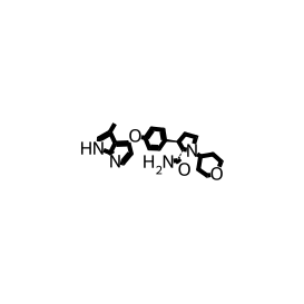 Cc1c[nH]c2nccc(Oc3ccc([C@H]4CCN(C5CCOCC5)[C@@H]4C(N)=O)cc3)c12